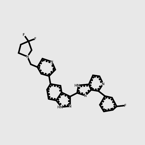 Fc1cccc(-c2nccc3[nH]c(-c4n[nH]c5ccc(-c6cncc(CN7CCC(F)(F)C7)c6)cc45)nc23)c1